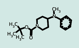 CN(c1ccccc1)C1CCN(C(=O)OC(C)(C)C)CC1